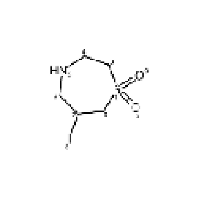 O=S1(=O)CCNCC(I)C1